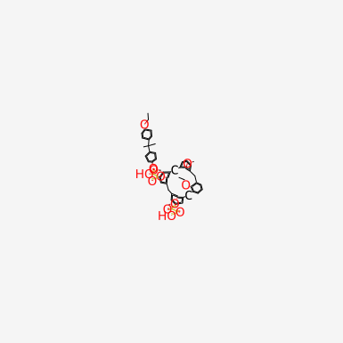 CCOc1ccc(C(C)(C)c2ccc(OCOc3c4cc(S(=O)(=O)O)cc3Cc3cc(S(=O)(=O)O)cc(c3OC)Cc3cccc(c3OCC)Cc3cccc(c3OC)C4)cc2)cc1